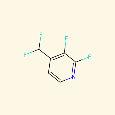 Fc1nccc(C(F)F)c1F